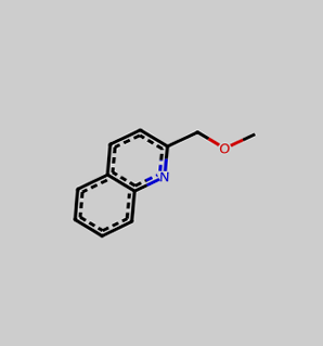 COCc1ccc2ccccc2n1